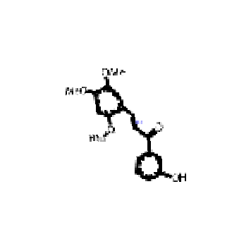 COc1cc(/C=C/C(=O)c2cccc(O)c2)c(OC(C)(C)C)cc1OC